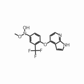 CON(O)c1ccc(Oc2ccnc3[nH]ccc23)c(C(F)(F)F)c1